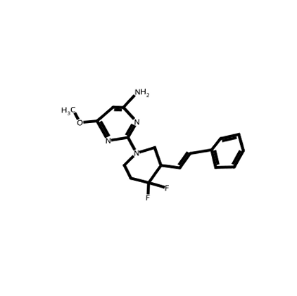 COc1cc(N)nc(N2CCC(F)(F)C(/C=C/c3ccccc3)C2)n1